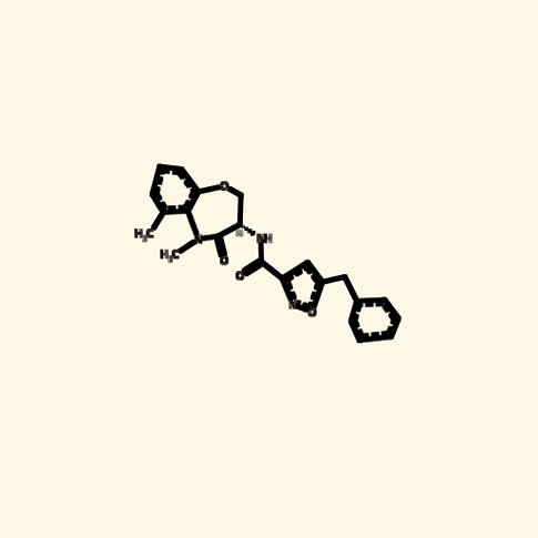 Cc1cccc2c1N(C)C(=O)[C@@H](NC(=O)c1cc(Cc3ccccc3)on1)CO2